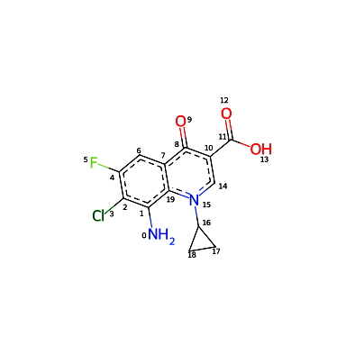 Nc1c(Cl)c(F)cc2c(=O)c(C(=O)O)cn(C3CC3)c12